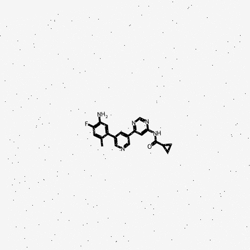 Cc1cc(F)c(N)cc1-c1cncc(-c2cc(NC(=O)C3CC3)ncn2)c1